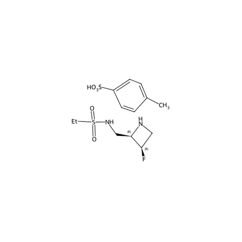 CCS(=O)(=O)NC[C@H]1NC[C@H]1F.Cc1ccc(S(=O)(=O)O)cc1